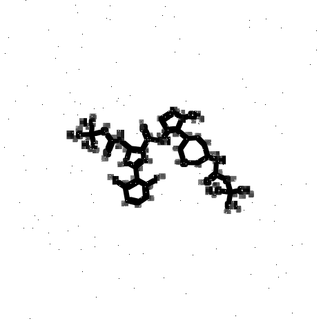 Cn1ncc(NC(=O)c2nc(-c3c(F)cccc3F)sc2NC(=O)OC(C)(C)C)c1C1CCC(NC(=O)OC(C)(C)C)COC1